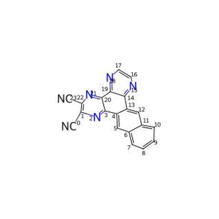 N#Cc1nc2c3cc4ccccc4cc3c3nccnc3c2nc1C#N